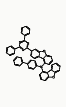 c1ccc(-c2ccc(N(c3cccc4oc5ccccc5c34)c3cccc4oc5cc(-c6nc(-c7ccccc7)nc(-c7ccccc7)n6)ccc5c34)cc2)cc1